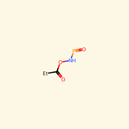 CCC(=O)ONP=O